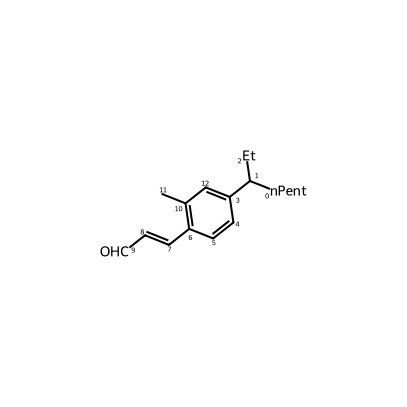 CCCCCC(CC)c1ccc(C=CC=O)c(C)c1